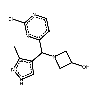 Cc1n[nH]cc1C(c1ccnc(Cl)n1)N1CC(O)C1